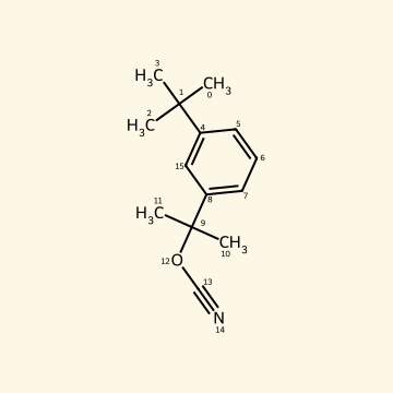 CC(C)(C)c1cccc(C(C)(C)OC#N)c1